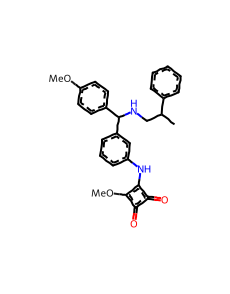 COc1ccc(C(NCC(C)c2ccccc2)c2cccc(Nc3c(OC)c(=O)c3=O)c2)cc1